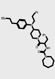 CC(C)CCN(c1ccc(CCC(C)(C)C)cc1)C1CCN(C(=O)C(CC(C)C)NC(=O)N2CCCCCC2)CC1